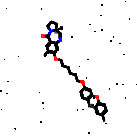 Cc1ccc(Oc2cc(OCCCCCCOc3cc4c(cc3C)C(=O)N3CCC[C@H]3C=N4)ccc2[N+](=O)[O-])cc1